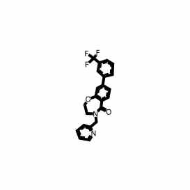 O=C1c2ccc(-c3cccc(C(F)(F)F)c3)cc2OCCN1Cc1ccccn1